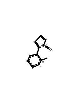 O=[PH]1C=CC=C1c1ccccc1Cl